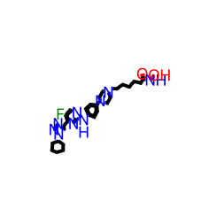 O=C(CCCCCCN1CCN(c2ccc(Nc3ncc(F)c(-c4cn(C5CCCCC5)nn4)n3)cc2)CC1)NO